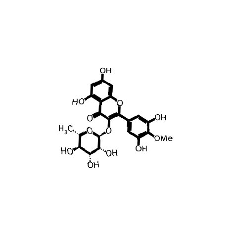 COc1c(O)cc(-c2oc3cc(O)cc(O)c3c(=O)c2O[C@@H]2O[C@@H](C)[C@H](O)[C@@H](O)[C@H]2O)cc1O